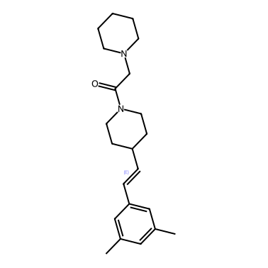 Cc1cc(C)cc(/C=C/C2CCN(C(=O)CN3CCCCC3)CC2)c1